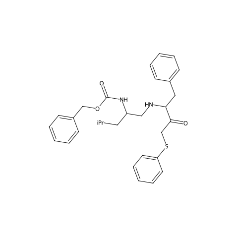 CC(C)CC(CNC(Cc1ccccc1)C(=O)CSc1ccccc1)NC(=O)OCc1ccccc1